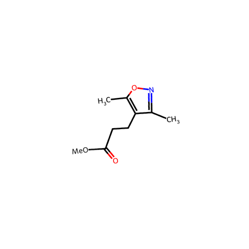 COC(=O)CCc1c(C)noc1C